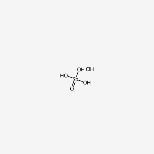 Cl.[O]=[Sb]([OH])([OH])[OH]